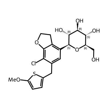 COc1ccc(Cc2cc([C@@H]3O[C@H](CO)[C@@H](O)[C@H](O)[C@H]3O)c3c(c2Cl)OCC3)s1